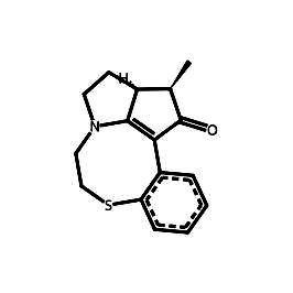 C[C@H]1C(=O)C2=C3[C@H]1CCN3CCSc1ccccc12